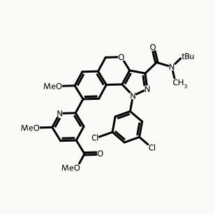 COC(=O)c1cc(OC)nc(-c2cc3c(cc2OC)COc2c(C(=O)N(C)C(C)(C)C)nn(-c4cc(Cl)cc(Cl)c4)c2-3)c1